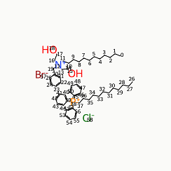 CCCCCCCCCCCC[N+](CCO)(CCO)Cc1ccccc1.CCCCCCCCCCCC[P+](c1ccccc1)(c1ccccc1)c1ccccc1.[Br-].[Cl-]